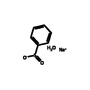 O.O=S([O-])c1ccccc1.[Na+]